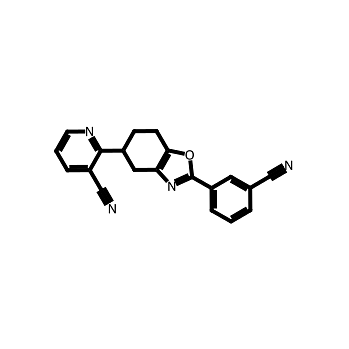 N#Cc1cccc(-c2nc3c(o2)CCC(c2ncccc2C#N)C3)c1